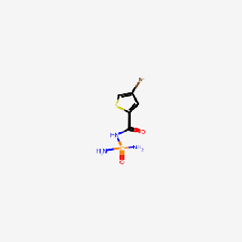 NP(N)(=O)NC(=O)c1cc(Br)cs1